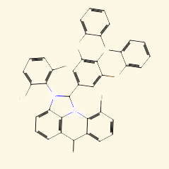 CC(C)c1cccc(C(C)C)c1N1c2cccc3c2N(c2c(C(C)C)cccc2C3C)C1c1cc2c3c(c1)Sc1ccccc1B3c1ccccc1S2